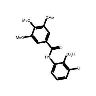 COc1cc(C(=O)Nc2cccc(Cl)c2C(=O)O)cc(OC)c1OC